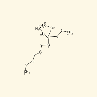 CCCCOCO[Si](CCC)(OC)OC